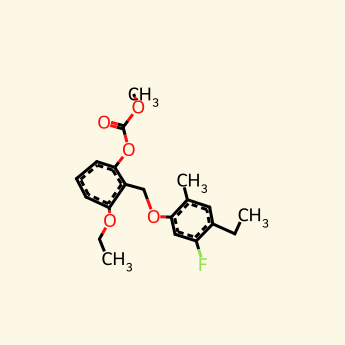 CCOc1cccc(OC(=O)OC)c1COc1cc(F)c(CC)cc1C